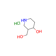 Cl.OCC1CNCCC1O